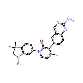 CC(=O)N1CC(C)(C)c2ccc(-n3ccc(C)c(-c4ccc5nc(N)ncc5c4)c3=O)cc21